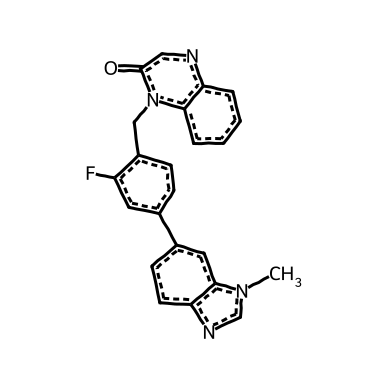 Cn1cnc2ccc(-c3ccc(Cn4c(=O)cnc5ccccc54)c(F)c3)cc21